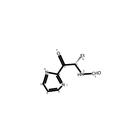 CC[C@H](NC=O)C(=O)c1ncccn1